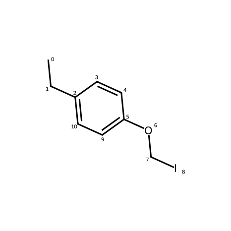 CCc1ccc(OCI)cc1